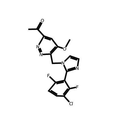 COc1cc(C(C)=O)nnc1Cn1ccnc1-c1c(F)ccc(Cl)c1F